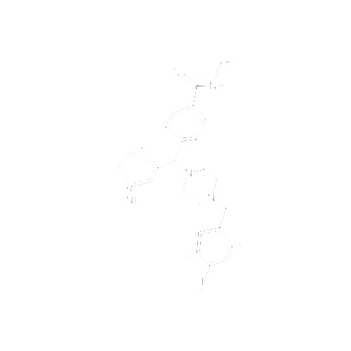 CCNC(=O)c1ccc(C(c2cccc(N)c2)N2CCN(Cc3ccc(F)cc3)CC2)cc1